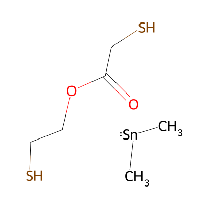 O=C(CS)OCCS.[CH3][Sn][CH3]